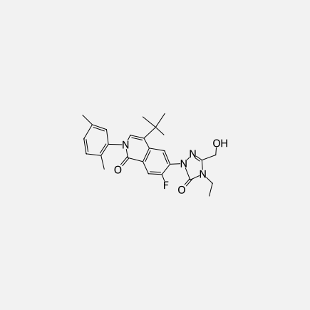 CCn1c(CO)nn(-c2cc3c(C(C)(C)C)cn(-c4cc(C)ccc4C)c(=O)c3cc2F)c1=O